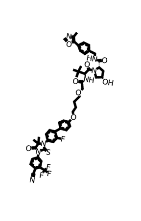 Cc1ncoc1-c1ccc(CNC(=O)[C@@H]2C[C@@H](O)CN2C(=O)[C@@H](NC(=O)COCCCCOc2ccc(-c3ccc(N4C(=S)N(c5ccc(C#N)c(C(F)(F)F)c5)C(=O)C4(C)C)cc3F)cc2)C(C)(C)C)cc1